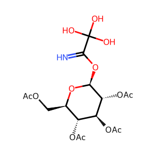 CC(=O)OC[C@H]1O[C@@H](OC(=N)C(O)(O)O)[C@H](OC(C)=O)[C@@H](OC(C)=O)[C@@H]1OC(C)=O